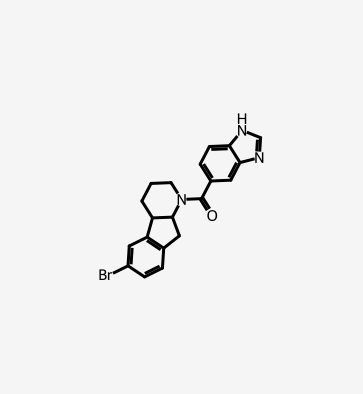 O=C(c1ccc2[nH]cnc2c1)N1CCCC2c3cc(Br)ccc3CC21